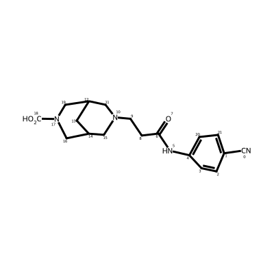 N#Cc1ccc(NC(=O)CCN2CC3CC(C2)CN(C(=O)O)C3)cc1